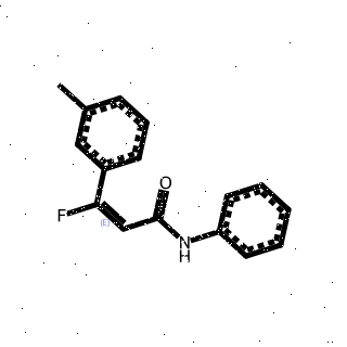 Cc1cccc(/C(F)=C\C(=O)Nc2ccccc2)c1